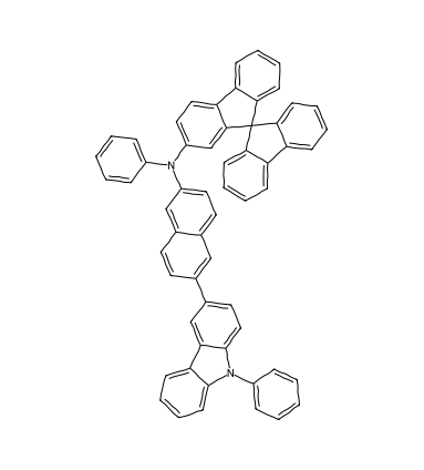 c1ccc(N(c2ccc3c(c2)C2(c4ccccc4-c4ccccc42)c2ccccc2-3)c2ccc3cc(-c4ccc5c(c4)c4ccccc4n5-c4ccccc4)ccc3c2)cc1